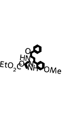 CCOC(=O)OC1=CNN2C1NC(C(=O)c1ccccc1)CC2c1ccc(OC)cc1